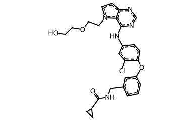 O=C(NCc1cccc(Oc2ccc(Nc3ncnc4ccn(CCOCCO)c34)cc2Cl)c1)C1CC1